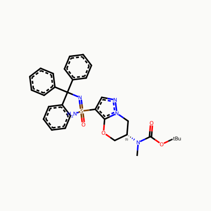 CN(C(=O)OC(C)(C)C)[C@@H]1COc2c(S(N)(=O)=NC(c3ccccc3)(c3ccccc3)c3ccccc3)cnn2C1